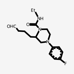 CCNC(=O)N1CCN(c2ccc(F)cc2)CC1CCCC=O